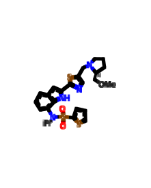 COC[C@@H]1CCCN1Cc1cnc(-c2cc3cccc(N(C(C)C)S(=O)(=O)c4cccs4)c3[nH]2)s1